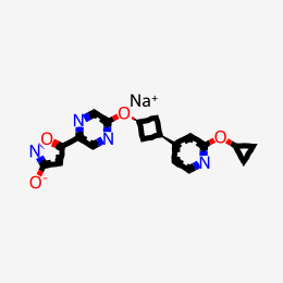 [Na+].[O-]c1cc(-c2cnc(O[C@H]3C[C@H](c4ccnc(OC5CC5)c4)C3)cn2)on1